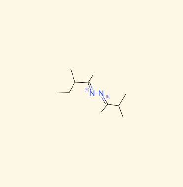 CCC(C)/C(C)=N/N=C(\C)C(C)C